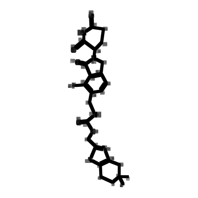 CC1(C)CCc2sc(COC(=O)NCc3ccc4c(c3F)C(=O)N(C3CCC(=O)NC3=O)C4)nc2C1